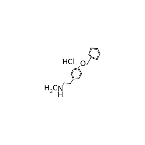 CNCCc1ccc(OCc2ccccc2)cc1.Cl